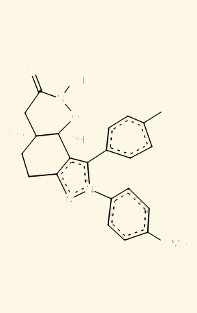 COc1ccc(-n2nc3c(c2-c2ccc(Cl)cc2)[C@@H]2ON(C)C(=O)C[C@@H]2CC3)cc1